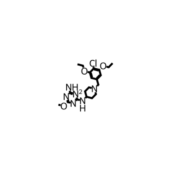 CCOc1cc(CN2CCC(Nc3nc(N)nc(OC)n3)CC2)cc(OCC)c1Cl